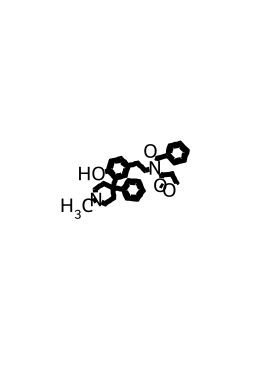 CN1CCC(c2ccccc2)(c2cc(CCN(C(=O)c3ccccc3)C3CCOO3)ccc2O)CC1